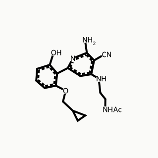 CC(=O)NCCNc1cc(-c2c(O)cccc2OCC2CC2)nc(N)c1C#N